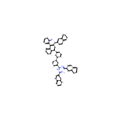 c1cc(-c2cccc(-c3cc4c(-c5ccc6ccccc6c5)nc5ccccc5c4c4ccccc34)c2)cc(-c2nc(-c3ccc4ccccc4c3)nc(-c3ccc4ccccc4c3)n2)c1